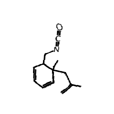 C=C(C)CC1(C)C=CC=CC1CN=C=O